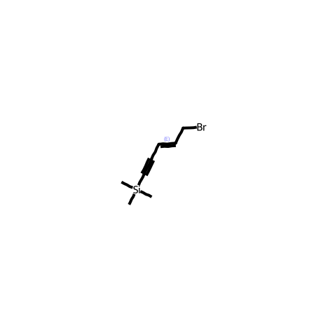 C[Si](C)(C)C#C/C=C/CBr